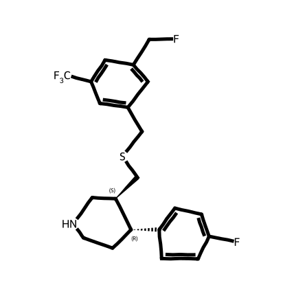 FCc1cc(CSC[C@@H]2CNCC[C@H]2c2ccc(F)cc2)cc(C(F)(F)F)c1